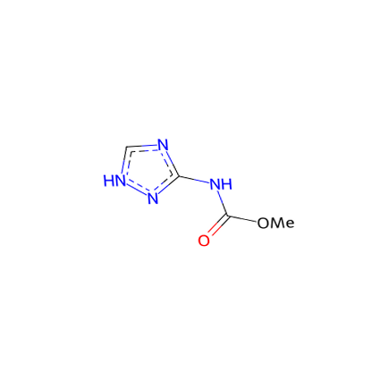 COC(=O)Nc1nc[nH]n1